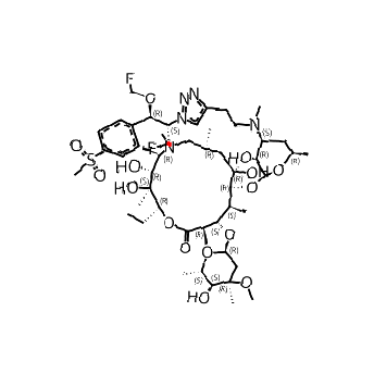 CC[C@H]1OC(=O)[C@H](C)[C@@H](O[C@H]2C[C@@](C)(OC)[C@@H](O)[C@H](C)O2)[C@H](C)[C@@H](OC2O[C@H](C)C[C@H](N(C)CCc3cn([C@H](CF)[C@H](OCF)c4ccc(S(C)(=O)=O)cc4)nn3)[C@H]2O)[C@](C)(O)C[C@@H](C)CN(C)[C@H](C)[C@@H](O)[C@]1(C)O